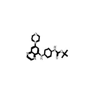 CC(C)(C)OC(=O)N[C@H]1CC[C@@H](Nc2cc(N3CCOCC3)cc3nccnc23)CC1